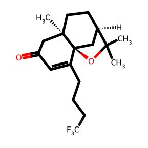 CC1(C)O[C@]23C[C@H]1CC[C@]2(C)CC(=O)C=C3CCCC(F)(F)F